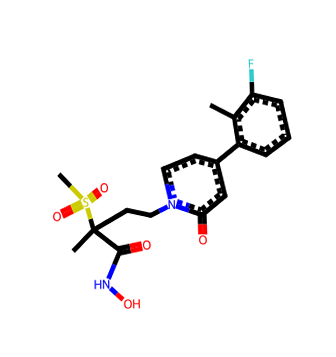 Cc1c(F)cccc1-c1ccn(CCC(C)(C(=O)NO)S(C)(=O)=O)c(=O)c1